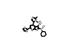 Cc1ncc(-c2cc(-c3nccs3)nc3sc([S+]([O-])C4CCCCC4)c(N)c23)n1C